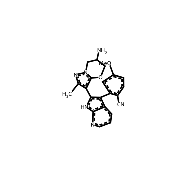 COc1ccc(C#N)c(-c2c(-c3c(C)nn4c3OCC(N)C4)[nH]c3ncccc23)c1